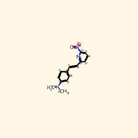 CN(C)c1ccc(C=Cc2cccc([N+](=O)[O-])n2)cc1